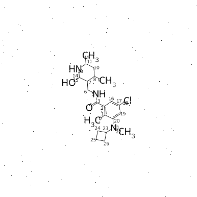 Cc1c(C(=O)NCC2C(C)CC(C)NC2O)cc(Cl)cc1N(C)C1CCC1